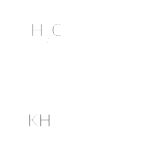 CC1CCCC1.[KH]